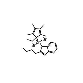 CCCCC1=Cc2ccccc2[CH]1[Zr]([Br])([Br])[C]1(CC)C(C)=C(C)C(C)=C1C